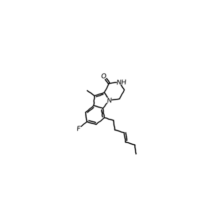 CC/C=C/CCc1cc(F)cc2c(C)c3n(c12)CCNC3=O